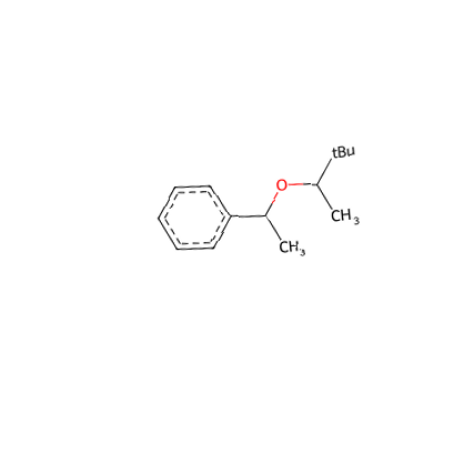 CC(OC(C)C(C)(C)C)c1ccccc1